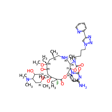 CC[C@H]1OC(=O)C(C)(F)C(=O)[C@H](C)[C@@H](O[C@@H]2O[C@H](C)CC(N(C)C)C2O)[C@](C)(OC)C[C@@H](C)CN[C@H](C)[C@H]2N(CCCCn3cc(-c4ccccn4)nn3)C(=O)O[C@]12n1ccc(N)nc1=O